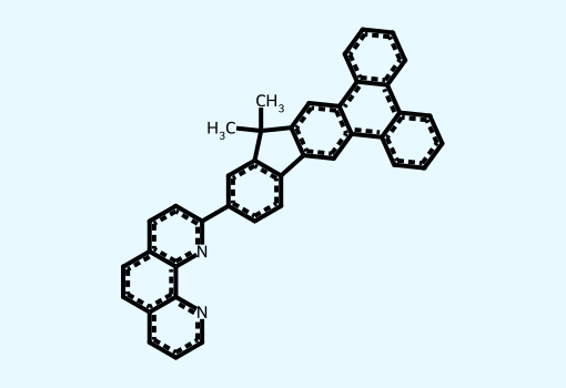 CC1(C)c2cc(-c3ccc4ccc5cccnc5c4n3)ccc2-c2cc3c4ccccc4c4ccccc4c3cc21